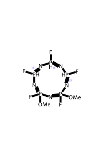 COP1(F)=N\[PH](F)=N/[PH](F)=N\[PH](F)=N/P(F)(OC)=N1